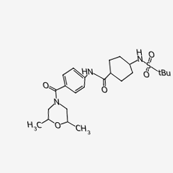 CC1CN(C(=O)c2ccc(NC(=O)C3CCC(NS(=O)(=O)C(C)(C)C)CC3)cc2)CC(C)O1